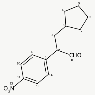 O=CC(CC1CCCC1)c1ccc([N+](=O)[O-])cc1